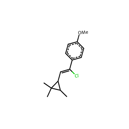 COc1ccc(C(Cl)=CC2C(C)C2(C)C)cc1